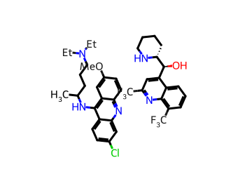 CCN(CC)CCCC(C)Nc1c2ccc(Cl)cc2nc2ccc(OC)cc12.O[C@@H](c1cc(C(F)(F)F)nc2c(C(F)(F)F)cccc12)[C@H]1CCCCN1